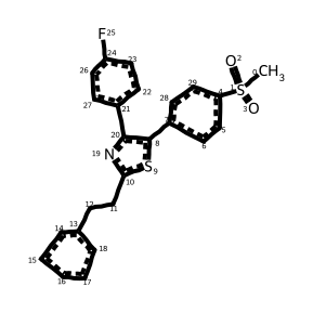 CS(=O)(=O)c1ccc(-c2sc(CCc3ccccc3)nc2-c2ccc(F)cc2)cc1